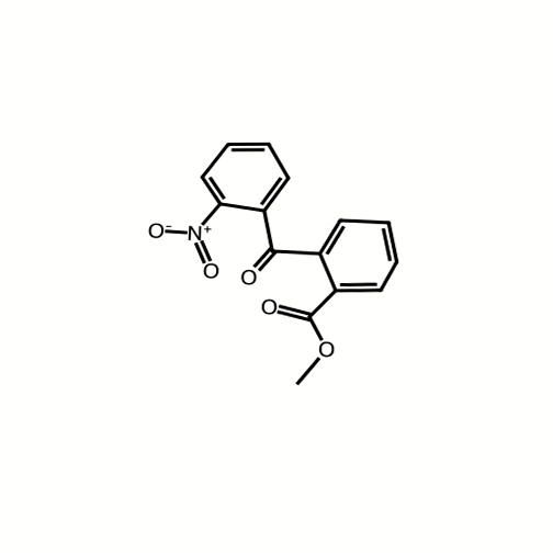 COC(=O)c1ccccc1C(=O)c1ccccc1[N+](=O)[O-]